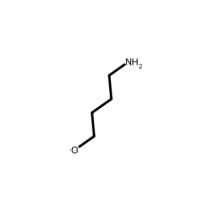 NCCCC[O]